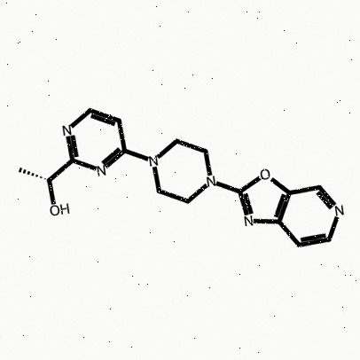 C[C@@H](O)c1nccc(N2CCN(c3nc4ccncc4o3)CC2)n1